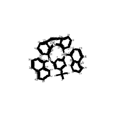 CC(C)(C)c1cc2cc(c1)N(c1cccc3ccccc13)c1cccc3c1sc1c(cccc13)N2c1cccc2ccccc12